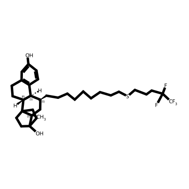 C[C@]12C[C@H](CCCCCCCCCSCCCC(F)(F)C(F)(F)F)[C@@H]3c4ccc(O)cc4CC[C@H]3C13CCC2(O)CC3